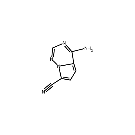 N#Cc1ccc2c(N)ncnn12